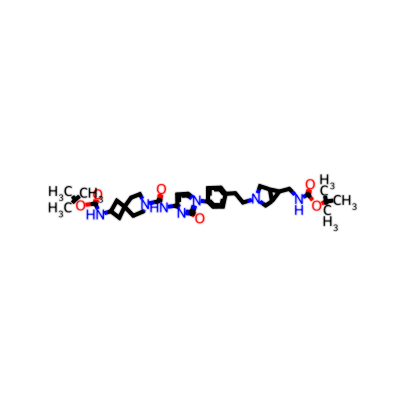 CC(C)(C)OC(=O)NCC1C2CN(CCc3ccc(-n4ccc(NC(=O)N5CCC6(CC5)CC(NC(=O)OC(C)(C)C)C6)nc4=O)cc3)CC12